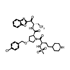 CS(=O)(=O)N[C@H](CCC1CCNCC1)C(=O)N1C[C@H](OCc2ccc(Cl)cc2)C[C@H]1C(=O)N[C@@H](CC(F)(F)F)C(=O)c1nc2ccccc2o1